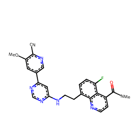 CNC(=O)c1ccnc2c(CCNc3cc(-c4cnc(C#N)c(OC)c4)ncn3)ccc(F)c12